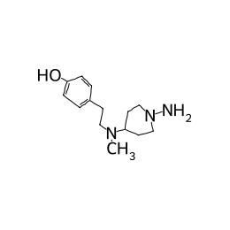 CN(CCc1ccc(O)cc1)C1CCN(N)CC1